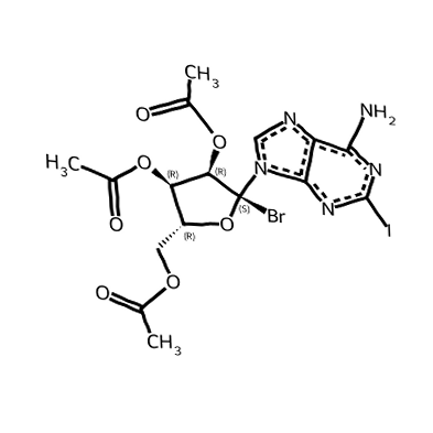 CC(=O)OC[C@H]1O[C@@](Br)(n2cnc3c(N)nc(I)nc32)[C@H](OC(C)=O)[C@@H]1OC(C)=O